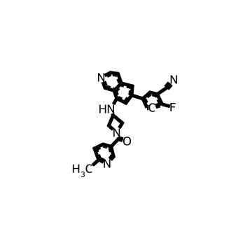 Cc1ccc(C(=O)N2CC(Nc3cc(-c4ccc(F)c(C#N)c4)cc4ccncc34)C2)cn1